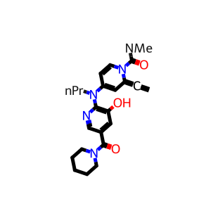 C=C=C1C=C(N(CCC)c2ncc(C(=O)N3CCCCC3)cc2O)C=CN1C(=O)NC